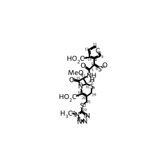 CO[C@@]1(NC(=O)C(=S=O)c2ccccc2C(=O)O)C(=O)N2C(C(=O)O)=C(CSc3nnnn3C)CS[C@@H]21